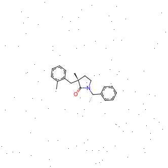 Cc1ccccc1C[C@]1(C)CCN([C@@H](C)c2ccccc2)C1=O